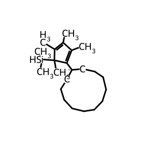 CC1=C(C)C(C)([SiH](C)C)C([C]2CCCCCCCCCCC2)=C1C